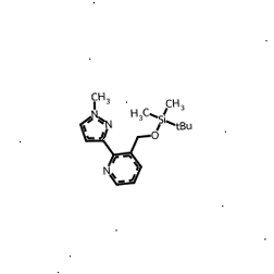 Cn1ccc(-c2ncccc2CO[Si](C)(C)C(C)(C)C)n1